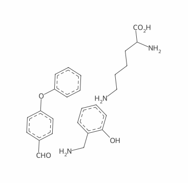 NCCCCC(N)C(=O)O.NCc1ccccc1O.O=Cc1ccc(Oc2ccccc2)cc1